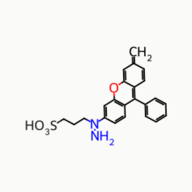 C=c1ccc2c(c1)Oc1cc(N(N)CCCS(=O)(=O)O)ccc1C=2c1ccccc1